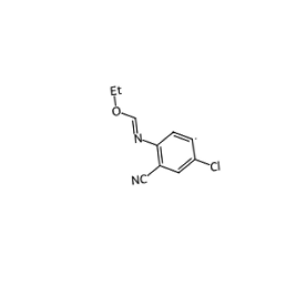 CCOC=Nc1c[c]c(Cl)cc1C#N